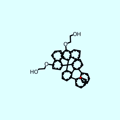 OCCOc1ccc(C2(c3ccc(OCCO)c4ccccc34)c3cccc(-c4ccccc4)c3-c3c(-c4ccccc4)cccc32)c2ccccc12